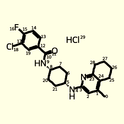 Cc1cc(N[C@H]2CC[C@@H](NC(=O)c3ccc(F)c(Cl)c3)CC2)nc2c1CCCC2.Cl